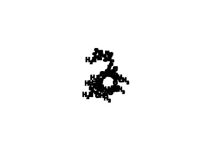 CC[C@H]1OC(=O)[C@@](C)(F)C(=O)[C@H](C)[C@@H](O[C@@H]2O[C@H](C)CC(N)C2O)[C@](C)(OC)C[C@@H](C)C(=O)[C@H](C)[C@H]2N(CC#CCn3cc(-c4nccc(N)n4)nn3)C(=O)O[C@]12C